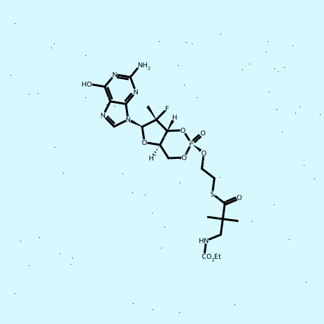 CCOC(=O)NCC(C)(C)C(=O)SCCO[P@@]1(=O)OC[C@H]2O[C@@H](n3cnc4c(O)nc(N)nc43)[C@](C)(F)[C@@H]2O1